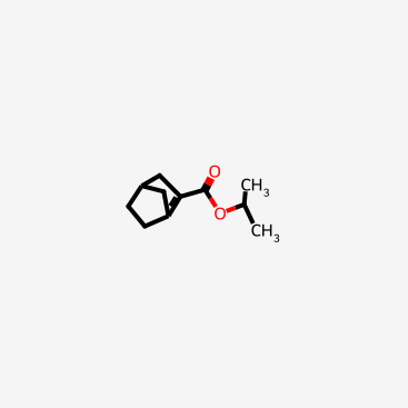 CC(C)OC(=O)C1=C2CCC(C2)C1